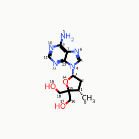 C[C@H]1C[C@H](n2cnc3c(N)ncnc32)OC1(CO)CO